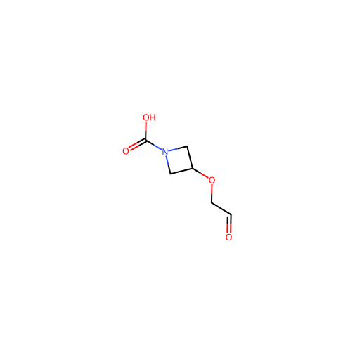 O=CCOC1CN(C(=O)O)C1